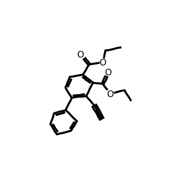 C#Cc1c(-c2ccccc2)ccc(C(=O)OCC)c1C(=O)OCC